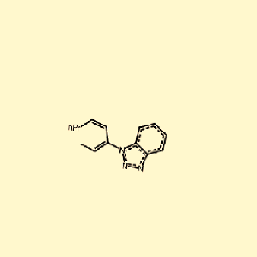 C/C=C(\C=C/CCC)n1nnc2ccccc21